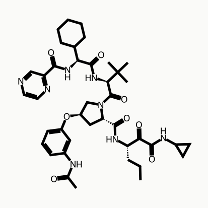 CCC[C@H](NC(=O)[C@@H]1C[C@@H](Oc2cccc(NC(C)=O)c2)CN1C(=O)[C@@H](NC(=O)[C@@H](NC(=O)c1cnccn1)C1CCCCC1)C(C)(C)C)C(=O)C(=O)NC1CC1